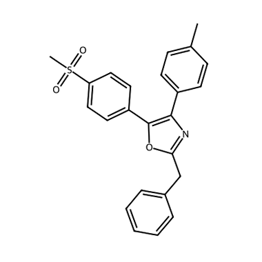 Cc1ccc(-c2nc(Cc3ccccc3)oc2-c2ccc(S(C)(=O)=O)cc2)cc1